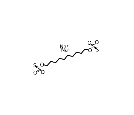 O=S([O-])(=S)OCCCCCCCCCCOS(=O)([O-])=S.[Na+].[Na+]